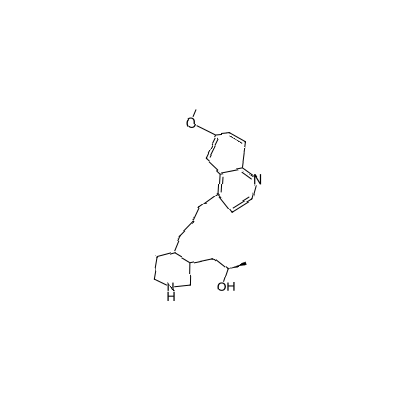 COc1ccc2nccc(CCCC3CCNCC3C[C@@H](C)O)c2c1